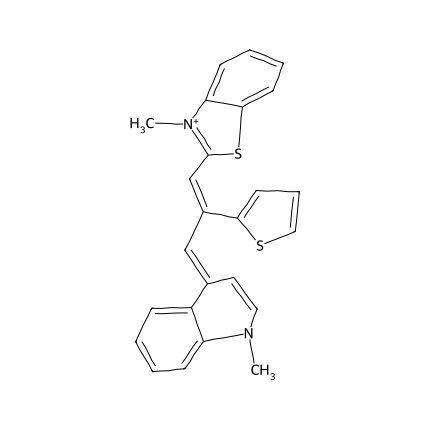 CN1C=C/C(=C\C(=C\c2sc3ccccc3[n+]2C)c2cccs2)c2ccccc21